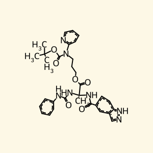 CC(C)(C)OC(=O)N(CCCOC(=O)[C@](C)(NC(=O)Nc1ccccc1)NC(=O)c1ccc2[nH]ncc2c1)c1ccccn1